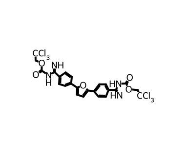 N=C(NC(=O)OCC(Cl)(Cl)Cl)c1ccc(-c2ccc(-c3ccc(C(=N)NC(=O)OCC(Cl)(Cl)Cl)cc3)o2)cc1